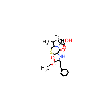 CCOC(=O)C(CCc1ccccc1)NC1CSCC(C(C)C)N(C(C)C(=O)O)C1=O